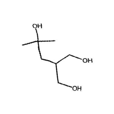 CC(C)(O)CC(CO)CO